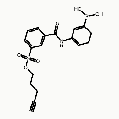 C#CCCCOS(=O)(=O)c1cccc(C(=O)NC2=CCCC(B(O)O)=C2)c1